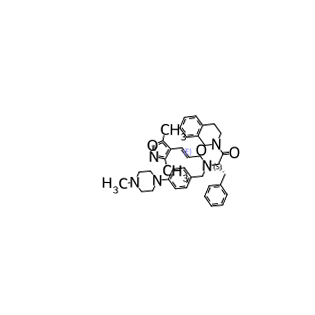 Cc1noc(C)c1/C=C/C(=O)N(Cc1ccc(N2CCN(C)CC2)cc1)[C@@H](Cc1ccccc1)C(=O)N1CCc2ccccc2C1